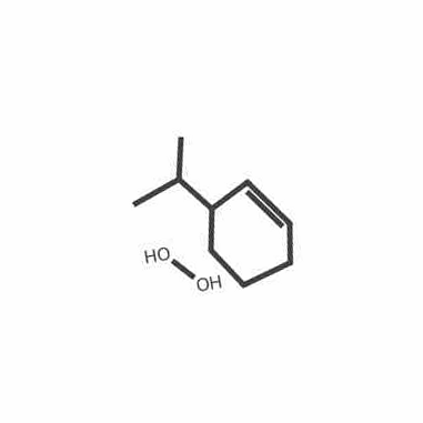 CC(C)C1C=CCCC1.OO